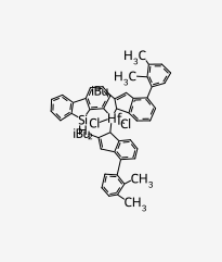 CCC(C)C1=Cc2c(-c3cccc(C)c3C)cccc2[CH]1[Hf]([Cl])([Cl])([c]1cccc2c1[SiH2]c1ccccc1-2)[CH]1C(C(C)CC)=Cc2c(-c3cccc(C)c3C)cccc21